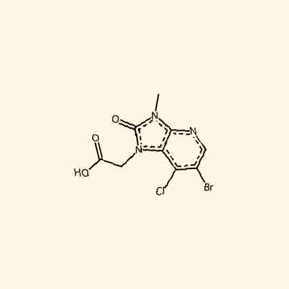 Cn1c(=O)n(CC(=O)O)c2c(Cl)c(Br)cnc21